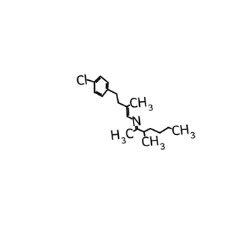 CCCCC(C)/C(C)=N/C=C(\C)CCc1ccc(Cl)cc1